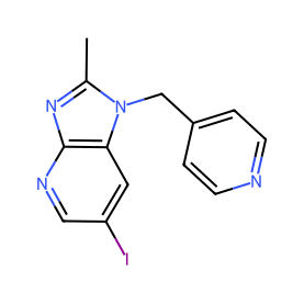 Cc1nc2ncc(I)cc2n1Cc1ccncc1